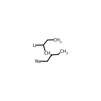 CCC[CH2][Na].[Li][CH](C)CC